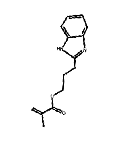 C=C(C)C(=O)OCCCc1nc2ccccc2[nH]1